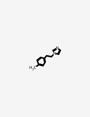 Cc1ccc(CCn2[c]ncc2)cc1